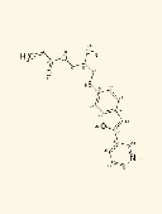 C=CC(=O)OCC(CSc1ccc2cc(-c3cccnc3)oc2c1)C(F)(F)F